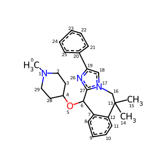 CN1CCC(OC2c3ccccc3C(C)(C)Cn3cc(-c4ccccc4)nc32)CC1